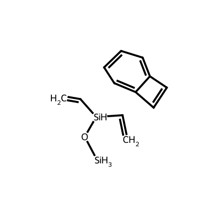 C1=Cc2ccccc21.C=C[SiH](C=C)O[SiH3]